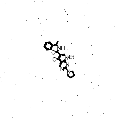 CCn1cc(C(=O)NC(C)c2ccccc2)c(=O)c2cnc(N3CCCC3)nc21